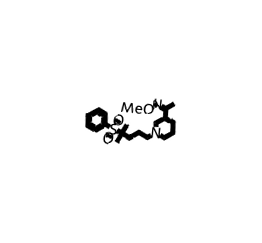 CO/N=C(/C)C1CCCN(CCCC(C)(C)S(=O)(=O)c2ccccc2)C1